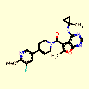 COc1ncc(C2=CCN(C(=O)c3c(C)oc4ncnc(NC5(C)CC5)c34)CC2)cc1F